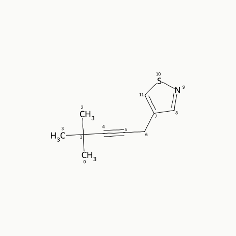 CC(C)(C)C#CCc1cnsc1